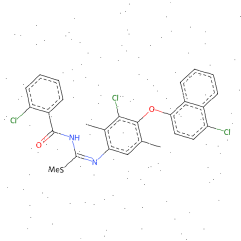 CSC(=Nc1cc(C)c(Oc2ccc(Cl)c3ccccc23)c(Cl)c1C)NC(=O)c1ccccc1Cl